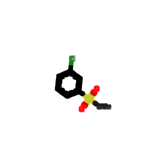 [CH2]OS(=O)(=O)c1cccc(Cl)c1